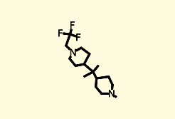 CN1CCC(C(C)(C)C2CCN(CC(F)(F)F)CC2)CC1